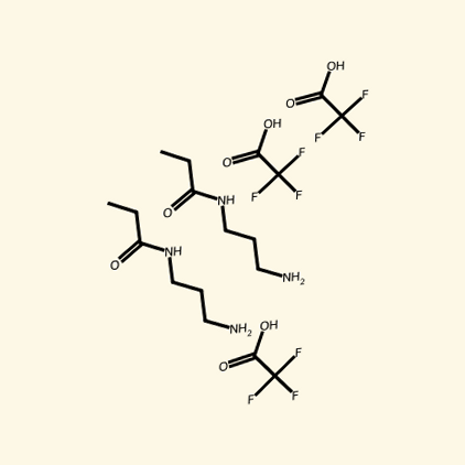 CCC(=O)NCCCN.CCC(=O)NCCCN.O=C(O)C(F)(F)F.O=C(O)C(F)(F)F.O=C(O)C(F)(F)F